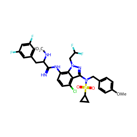 COc1ccc(CN(c2nn(CC(F)F)c3c(NC(=N)C(Cc4cc(F)cc(F)c4)NC(=O)O)ccc(Cl)c23)S(=O)(=O)C2CC2)cc1